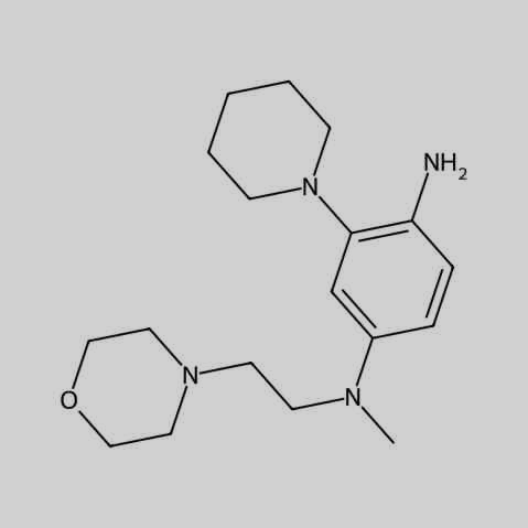 CN(CCN1CCOCC1)c1ccc(N)c(N2CCCCC2)c1